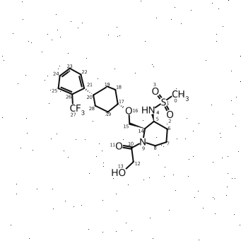 CS(=O)(=O)N[C@H]1CCCN(C(=O)CO)[C@H]1CO[C@H]1CC[C@@H](c2ccccc2C(F)(F)F)CC1